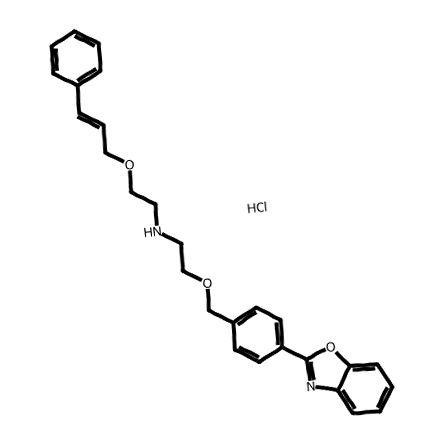 C(=Cc1ccccc1)COCCNCCOCc1ccc(-c2nc3ccccc3o2)cc1.Cl